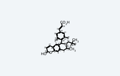 CC1Cc2cc3c(cc2C(c2c(F)cc(/C=C/C(=O)O)cc2F)N1CC(C)(C)F)C=CC(O)O3